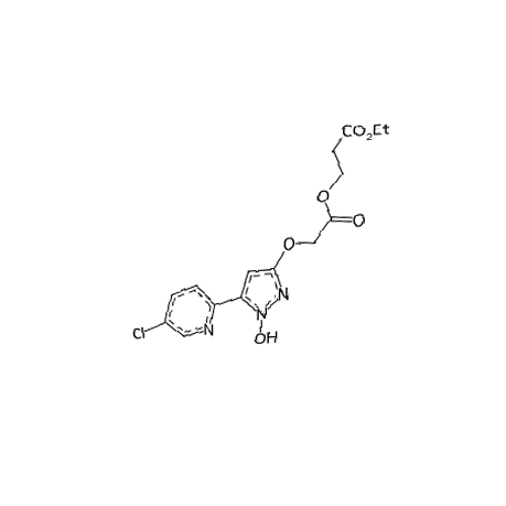 CCOC(=O)CCOC(=O)COc1cc(-c2ccc(Cl)cn2)n(O)n1